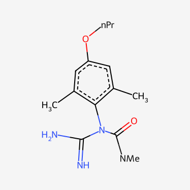 CCCOc1cc(C)c(N(C(=N)N)C(=O)NC)c(C)c1